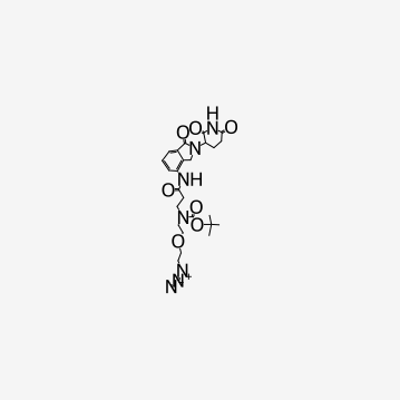 CC(C)(C)OC(=O)N(CCOCCN=[N+]=[N-])CCC(=O)Nc1cccc2c1CN(C1CCC(=O)NC1=O)C2=O